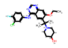 CCOc1cc2ncnc(Nc3ccc(F)c(Cl)c3)c2cc1C(C)(C)N1CCC(O)CC1